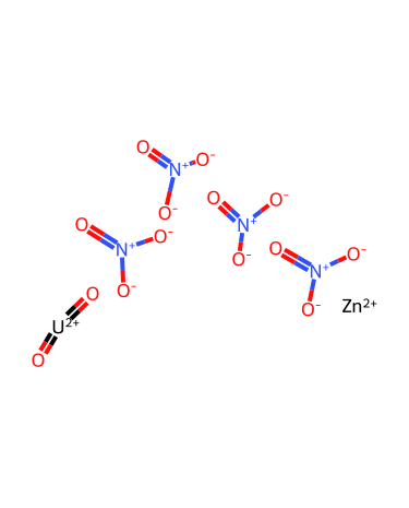 O=[N+]([O-])[O-].O=[N+]([O-])[O-].O=[N+]([O-])[O-].O=[N+]([O-])[O-].[O]=[U+2]=[O].[Zn+2]